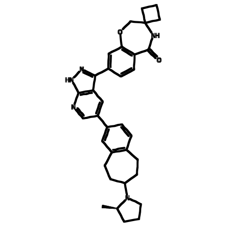 C[C@@H]1CCCN1C1CCc2ccc(-c3cnc4[nH]nc(-c5ccc6c(c5)OCC5(CCC5)NC6=O)c4c3)cc2CC1